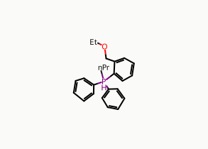 CCC[PH](c1ccccc1)(c1ccccc1)c1ccccc1COCC